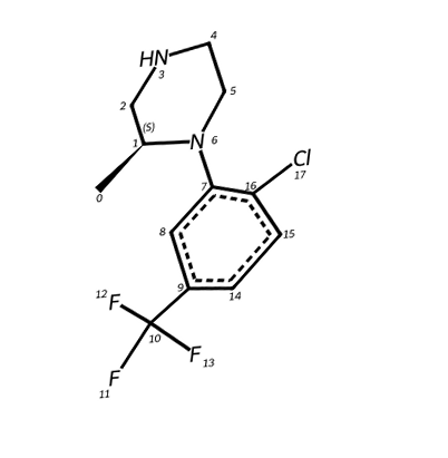 C[C@H]1CNCCN1c1cc(C(F)(F)F)ccc1Cl